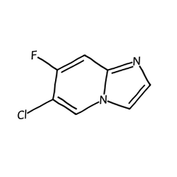 Fc1cc2nccn2cc1Cl